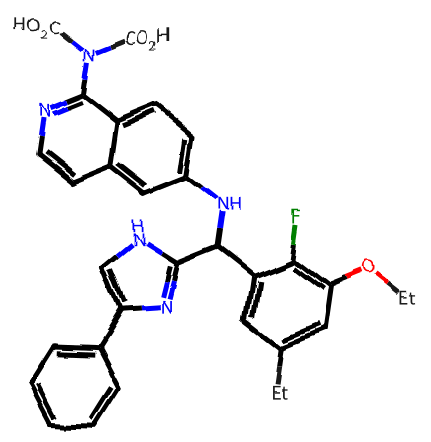 CCOc1cc(CC)cc(C(Nc2ccc3c(N(C(=O)O)C(=O)O)nccc3c2)c2nc(-c3ccccc3)c[nH]2)c1F